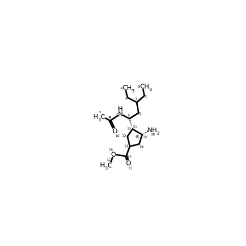 CCC(CC)CC(NC(C)=O)[C@H]1CC(C(=O)OC)C[C@H]1N